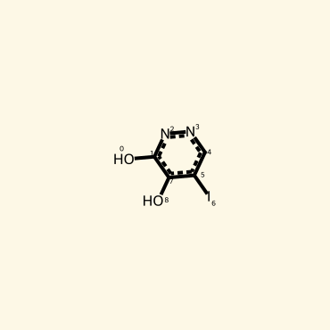 Oc1nncc(I)c1O